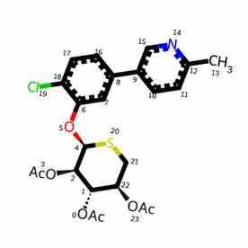 CC(=O)O[C@@H]1[C@@H](OC(C)=O)[C@@H](Oc2cc(-c3ccc(C)nc3)ccc2Cl)SC[C@H]1OC(C)=O